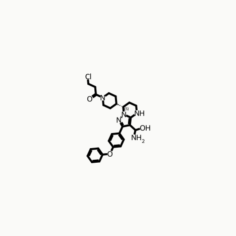 NC(O)c1c(-c2ccc(Oc3ccccc3)cc2)nn2c1NCC[C@H]2C1CCN(C(=O)CCCl)CC1